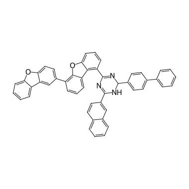 c1ccc(-c2ccc(C3N=C(c4cccc5oc6c(-c7ccc8oc9ccccc9c8c7)cccc6c45)N=C(c4ccc5ccccc5c4)N3)cc2)cc1